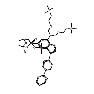 CC(C)(C)OC(=O)N1C2CC[C@@H]1CC(c1cc(N(COCC[Si](C)(C)C)COCC[Si](C)(C)C)n3ncc(-c4ccc(-c5ncccn5)cc4)c3n1)C2